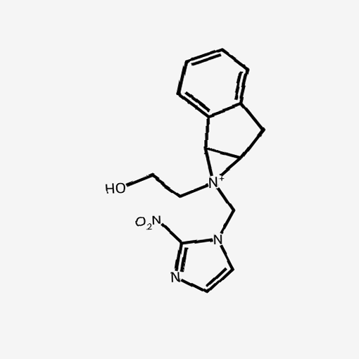 O=[N+]([O-])c1nccn1C[N+]1(CCO)C2Cc3ccccc3C21